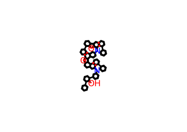 Oc1c(-c2ccccc2)cccc1-c1cccc(N(c2ccc3c(ccc4oc5ccc6cc(N(c7ccccc7-c7ccccc7)c7cccc8c7oc7c(-c9ccccc9)cccc78)ccc6c5c43)c2)c2ccccc2-c2ccccc2)c1